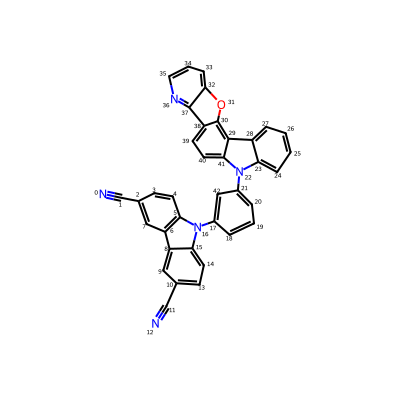 N#Cc1ccc2c(c1)c1cc(C#N)ccc1n2-c1cccc(-n2c3ccccc3c3c4oc5cccnc5c4ccc32)c1